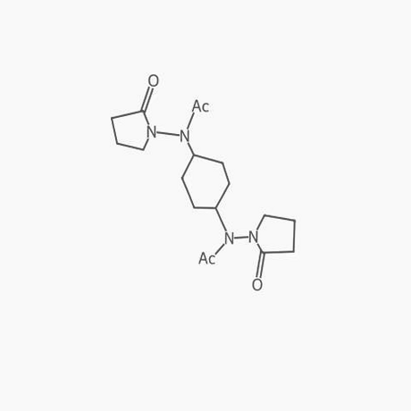 CC(=O)N(C1CCC(N(C(C)=O)N2CCCC2=O)CC1)N1CCCC1=O